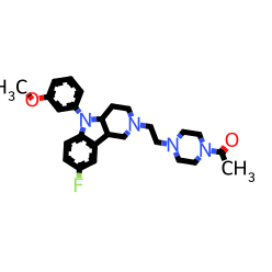 COc1cccc(N2c3ccc(F)cc3C3CN(CCN4CCN(C(C)=O)CC4)CCC32)c1